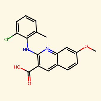 COc1ccc2cc(C(=O)O)c(Nc3c(C)cccc3Cl)nc2c1